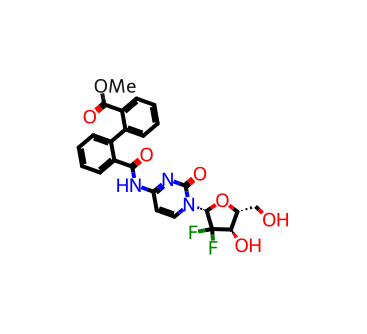 COC(=O)c1ccccc1-c1ccccc1C(=O)Nc1ccn([C@@H]2O[C@H](CO)[C@@H](O)C2(F)F)c(=O)n1